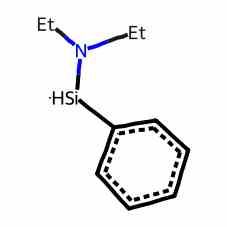 CCN(CC)[SiH]c1ccccc1